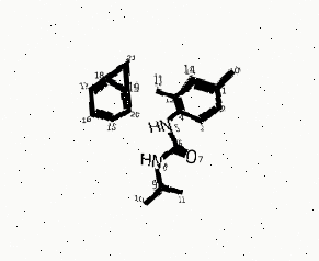 Cc1ccc(NC(=O)NC(C)C)c(C)c1.c1ccc2c(c1)C2